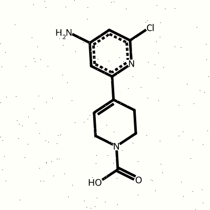 Nc1cc(Cl)nc(C2=CCN(C(=O)O)CC2)c1